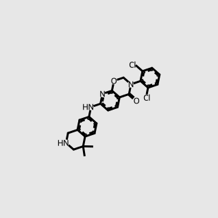 CC1(C)CNCc2cc(Nc3ccc4c(n3)OCN(c3c(Cl)cccc3Cl)C4=O)ccc21